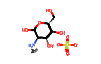 N[C@H]1C(O)O[C@H](CO)[C@@H](O)[C@@H]1O.O=S(=O)([O-])[O-].[Zn+2]